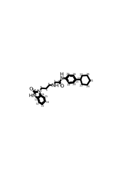 O=C(CNCCCn1c(=O)[nH]c2ccccc21)Nc1ccc(C2CCCCC2)cc1